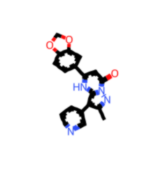 Cc1nn2c(=O)cc(-c3ccc4c(c3)OCO4)[nH]c2c1-c1cccnc1